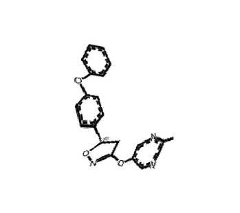 Cc1ncc(OC2=NO[C@@H](c3ccc(Oc4ccccc4)cc3)C2)cn1